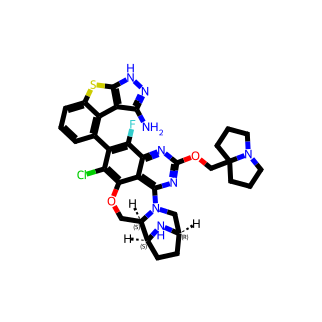 Nc1n[nH]c2sc3cccc(-c4c(Cl)c5c6c(nc(OCC78CCCN7CCC8)nc6c4F)N4C[C@H]6CC[C@H](N6)[C@H]4CO5)c3c12